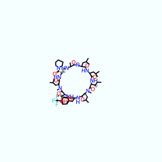 CC[C@H](C)C1NC(=O)C(CC(C)C)NC(=O)C(CC(C)C)N(C)C(=O)C(C)NC[C@@H](C(=O)N2CCCCC2)NC(=O)[C@H](CC(C)C)N(C)C(=O)C([C@@H](C)O)NC(=O)[C@](C)(Cc2ccc(C(F)(F)F)cc2)NC(=O)[C@H](CC(C)C)N(C)C1=O